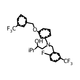 CC(C)C(O)CN(Cc1cc(C(F)(F)F)ccc1F)c1cccc(OCc2cccc(C(F)(F)F)c2)c1